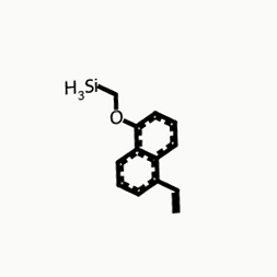 C=Cc1cccc2c(OC[SiH3])cccc12